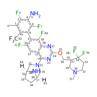 Cc1c(F)c(N)c(F)c(-c2c(F)cc3c(N4C[C@H]5CC[C@@H](C4)N5)nc(OC[C@]4(C)CN(C)CCC4(F)F)nc3c2F)c1C(F)(F)F